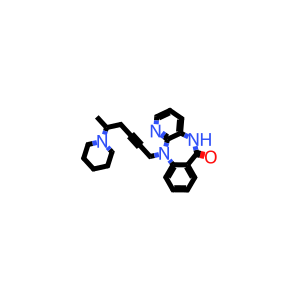 CC(CC#CCN1c2ccccc2C(=O)Nc2cccnc21)N1CCCCC1